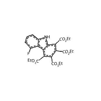 CCOC(=O)c1c(C(=O)OCC)c(C(=O)OCC)c2c([nH]c3cccc(F)c32)c1C(=O)OCC